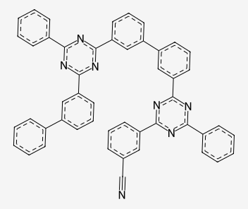 N#Cc1cccc(-c2nc(-c3ccccc3)nc(-c3cccc(-c4cccc(-c5nc(-c6ccccc6)nc(-c6cccc(-c7ccccc7)c6)n5)c4)c3)n2)c1